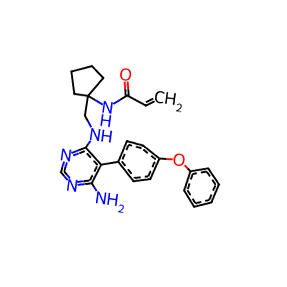 C=CC(=O)NC1(CNc2ncnc(N)c2-c2ccc(Oc3ccccc3)cc2)CCCC1